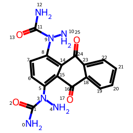 NC(=O)N(N)c1ccc(N(N)C(N)=O)c2c1C(=O)c1ccccc1C2=O